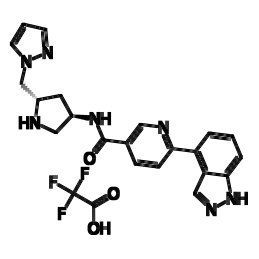 O=C(N[C@H]1CN[C@H](Cn2cccn2)C1)c1ccc(-c2cccc3[nH]ncc23)nc1.O=C(O)C(F)(F)F